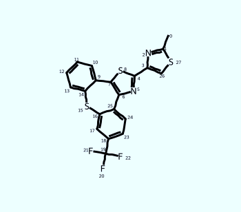 Cc1nc(-c2nc3c(s2)-c2ccccc2Sc2cc(C(F)(F)F)ccc2-3)cs1